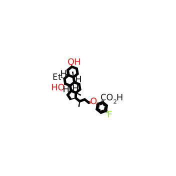 CC[C@H]1[C@@H](O)[C@@H]2[C@H](CC[C@]3(C)[C@@H]([C@H](C)CCOc4ccc(F)cc4C(=O)O)CC[C@@H]23)[C@@]2(C)CC[C@@H](O)C[C@@H]12